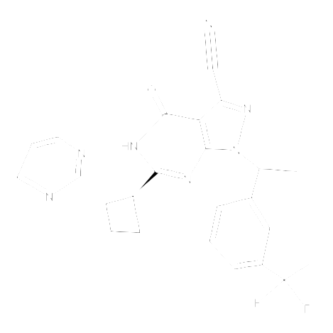 CC(c1cccc(C(F)(F)F)c1)n1nc(C#N)c2c(=O)[nH]c([C@H]3CC[C@@H]3c3ncccn3)nc21